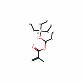 C=C(C)C(=O)OC(CC)O[Si](CC)(CC)CC